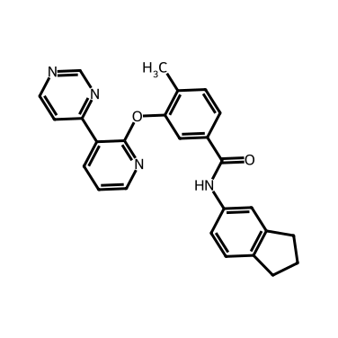 Cc1ccc(C(=O)Nc2ccc3c(c2)CCC3)cc1Oc1ncccc1-c1ccncn1